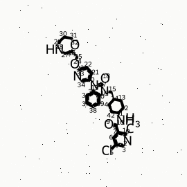 Cc1ncc(Cl)cc1C(=O)N[C@H]1CC[C@H](Cn2c(=O)n(-c3ccc(OC[C@H]4CNCCCO4)nc3)c3ccccc32)CC1